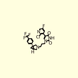 O=c1[nH]c(=O)n(CCCN2C[C@@H]3C[C@]3(c3ccc(C(F)(F)F)cc3)C2)cc1-c1cc(F)cnc1Cl